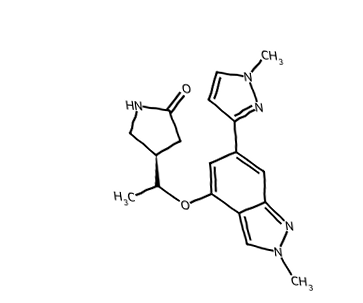 CC(Oc1cc(-c2ccn(C)n2)cc2nn(C)cc12)[C@H]1CNC(=O)C1